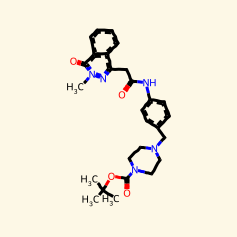 Cn1nc(CC(=O)Nc2ccc(CN3CCN(C(=O)OC(C)(C)C)CC3)cc2)c2ccccc2c1=O